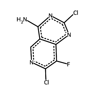 Nc1nc(Cl)nc2c(F)c(Cl)ncc12